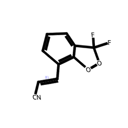 N#C/C=C/c1cccc2c1OOC2(F)F